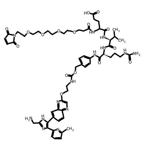 Cc1cccc(-c2nc(CN)[nH]c2-c2ccc3ncc(OCCNC(=O)OCc4ccc(NC(=O)[C@H](CCCNC(N)=O)NC(=O)[C@@H](NC(=O)C(CCC(=O)O)NC(=O)CCOCCOCCOCCOCCN5C(=O)C=CC5=O)C(C)C)cc4)nc3c2)n1